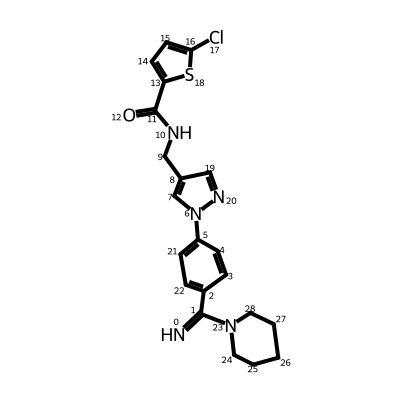 N=C(c1ccc(-n2cc(CNC(=O)c3ccc(Cl)s3)cn2)cc1)N1CCCCC1